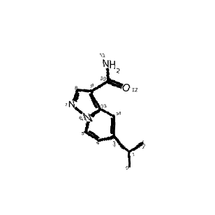 CC(C)c1ccn2ncc(C(N)=O)c2c1